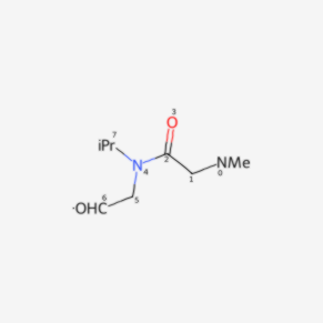 CNCC(=O)N(C[C]=O)C(C)C